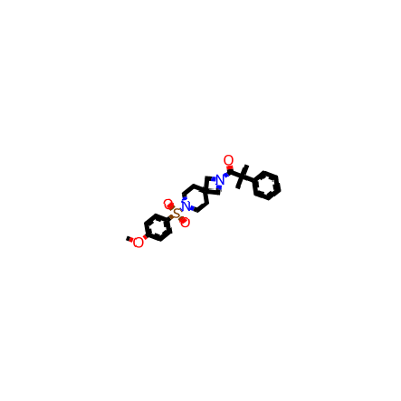 COc1ccc(S(=O)(=O)N2CCC3(CC2)CN(C(=O)C(C)(C)c2ccccc2)C3)cc1